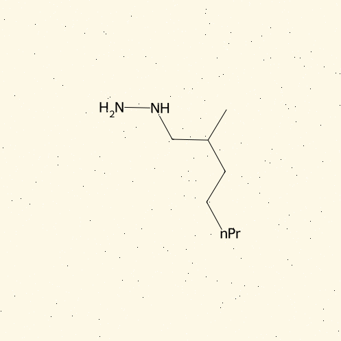 CCCCCC(C)CNN